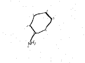 NC1[CH]C[CH]CC1